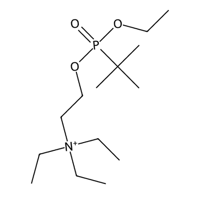 CCOP(=O)(OCC[N+](CC)(CC)CC)C(C)(C)C